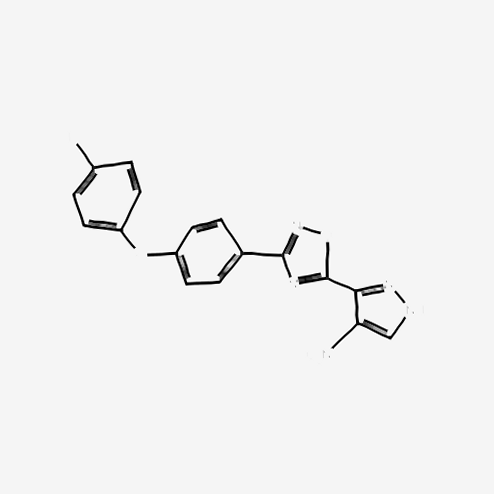 O=[N+]([O-])c1c[nH]nc1-c1nc(-c2ccc(Oc3ccc(F)cc3)cc2)no1